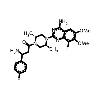 COc1cc2c(N)nc(N3C[C@@H](C)N(C(=O)CC(N)c4ccc(F)cc4)C[C@@H]3C)nc2c(F)c1OC